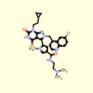 CN(C)CCNC(=O)c1cc(-c2c3c(=O)[nH]c(=O)n(CCC4CC4)c3nn2Cc2ccnc3ccc(Cl)cc23)n(C)c1